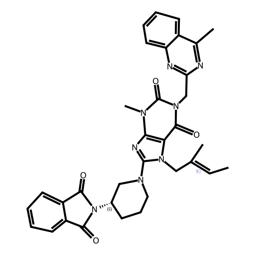 C/C=C(\C)Cn1c(N2CCC[C@H](N3C(=O)c4ccccc4C3=O)C2)nc2c1c(=O)n(Cc1nc(C)c3ccccc3n1)c(=O)n2C